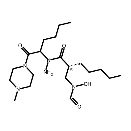 CCCCC[C@H](CN(O)C=O)C(=O)N(N)C(CCCC)C(=O)N1CCN(C)CC1